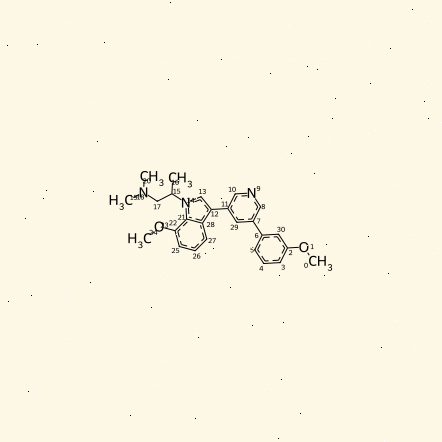 COc1cccc(-c2cncc(-c3cn(C(C)CN(C)C)c4c(OC)cccc34)c2)c1